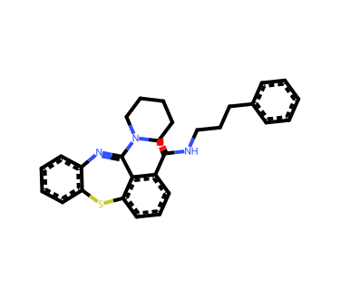 O=C(NCCCc1ccccc1)c1cccc2c1C(N1CCCCC1)=Nc1ccccc1S2